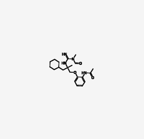 CC(=O)Nc1ccccc1OCC(C)(CC1CCCCC1)NC(=N)N(C)C=O